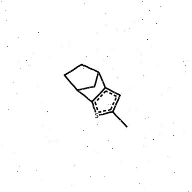 Cc1cc2c(s1)C1CCC2C1